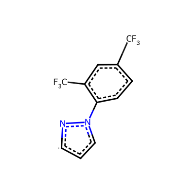 FC(F)(F)c1ccc(-n2cc[c]n2)c(C(F)(F)F)c1